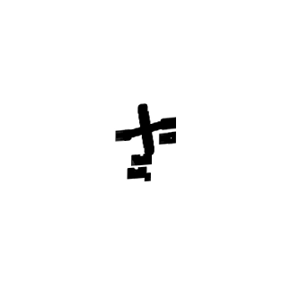 Cl.O=S(=O)(O)O.[BaH2].[NaH]